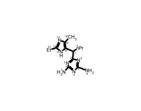 CCCC(c1nc(N)nc(N)n1)c1[nH]c(CC)nc1C